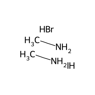 Br.CN.CN.I